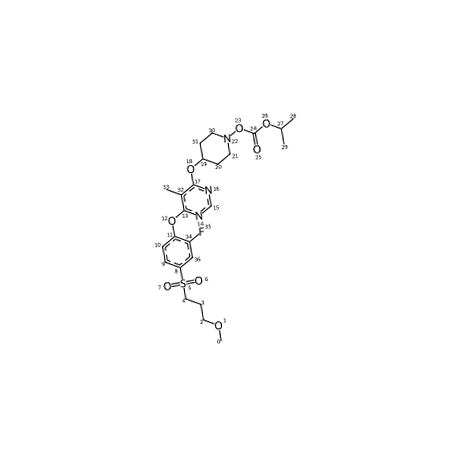 COCCCS(=O)(=O)c1ccc(Oc2ncnc(OC3CCN(OC(=O)OC(C)C)CC3)c2C)c(F)c1